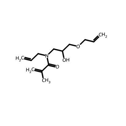 C=CCOCC(O)CN(CC=C)C(=O)C(=C)C